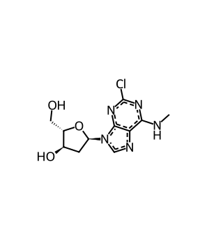 CNc1nc(Cl)nc2c1ncn2[C@H]1C[C@@H](O)[C@H](CO)O1